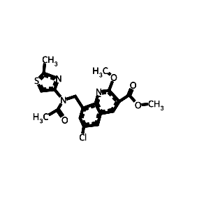 COC(=O)c1cc2cc(Cl)cc(CN(C(C)=O)c3csc(C)n3)c2nc1OC